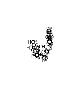 CC(C)N(C(=O)c1cc(F)ccc1Oc1cncnc1N1CC[C@@H](CN2CC3(CCN(S(=O)(=O)N4CC5CCC(C4)N5)CC3)C2)C1)C(C)C.Cl